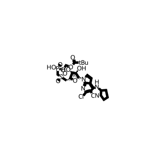 CC(C)(C)C(=O)OCOP(=O)(O)CS(=O)(=O)C[C@H]1O[C@@H](n2ccc3c(NC4CCCC4)c(C#N)c(Cl)nc32)[C@H](O)[C@@H]1O